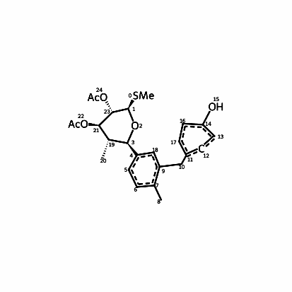 CS[C@H]1O[C@@H](c2ccc(C)c(Cc3ccc(O)cc3)c2)[C@H](C)[C@@H](OC(C)=O)[C@@H]1OC(C)=O